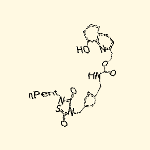 CCCCCn1sc(=O)n(Cc2ccc(CNC(=O)OCc3ccc4cccc(O)c4n3)cc2)c1=O